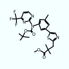 COC(=O)C(C)(C)Cc1ncc(-c2cc(C)cc(N(C(=O)OC(C)(C)C)c3nccc(C(F)(F)F)n3)c2)s1